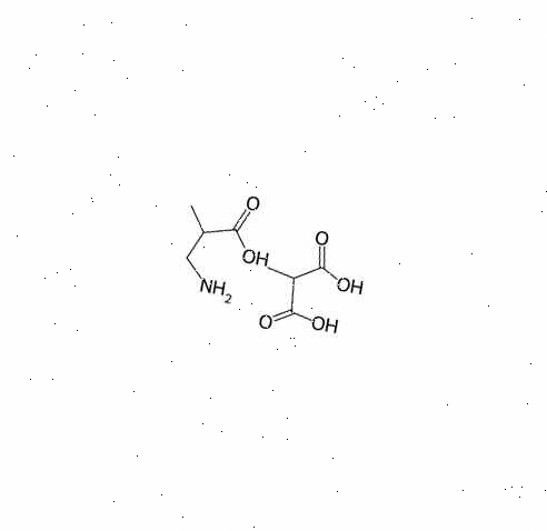 CC(C(=O)O)C(=O)O.CC(CN)C(=O)O